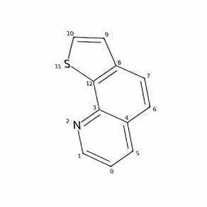 c1cnc2c(c1)ccc1ccsc12